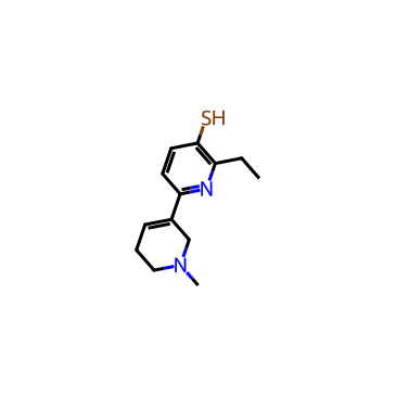 CCc1nc(C2=CCCN(C)C2)ccc1S